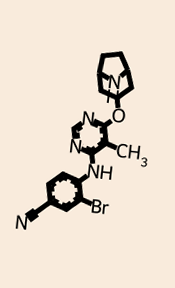 Cc1c(Nc2ccc(C#N)cc2Br)ncnc1OC1CC2CCC(C1)N2